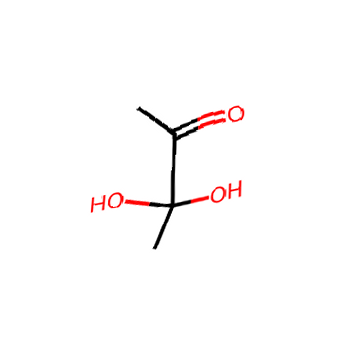 CC(=O)C(C)(O)O